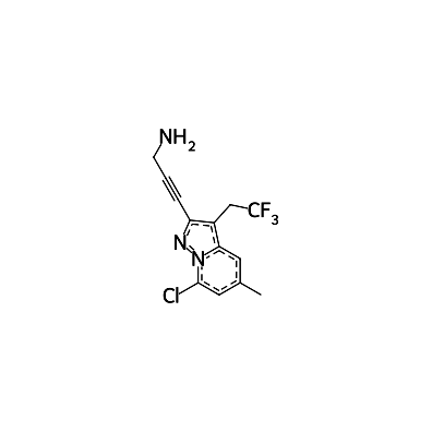 Cc1cc(Cl)n2nc(C#CCN)c(CC(F)(F)F)c2c1